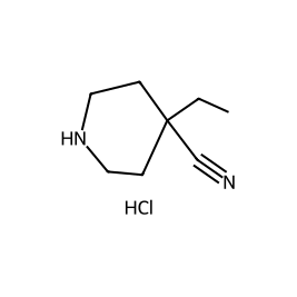 CCC1(C#N)CCNCC1.Cl